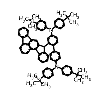 CC(C)(C)c1ccc(N(c2ccc(-c3ccc(N(c4ccc(C(C)(C)C)cc4)c4ccc([Si](C)(C)C)cc4)cc3C3c4ccccc4-c4c3cc3c5c(cccc45)-c4ccccc4-3)cc2)c2ccc([Si](C)(C)C)cc2)cc1